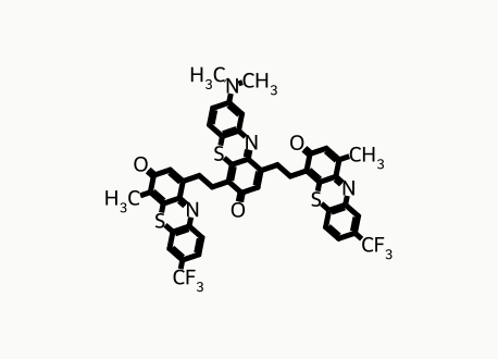 Cc1cc(=O)c(CCc2cc(=O)c(CCc3cc(=O)c(C)c4sc5cc(C(F)(F)F)ccc5nc3-4)c3sc4ccc(N(C)C)cc4nc2-3)c2sc3ccc(C(F)(F)F)cc3nc1-2